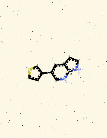 c1cc2cc(-c3ccsc3)cnc2[nH]1